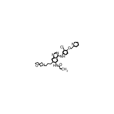 C=CC(=O)Nc1cc2c(Nc3ccc(OCc4ccccn4)c(Cl)c3)ncnc2cc1CCCN1CC2(CCO2)C1